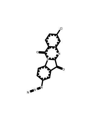 [N-]=[N+]=Nc1ccc2c(c1)C(=O)c1nc3cc(Cl)ccc3c(=O)n1-2